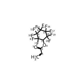 C=CC(=O)OC1C(F)(F)C(F)(F)C(F)(F)C(F)(F)C1(F)F